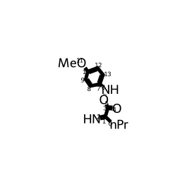 CCCC(=N)C(=O)ONc1ccc(OC)cc1